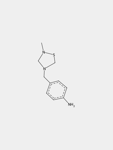 CN1CN(Cc2ccc(N)cc2)CS1